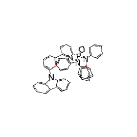 O=P(c1cccc(-c2cccc(-n3c4ccccc4c4ccccc43)c2)n1)(N(c1ccccc1)c1ccccc1)N(c1ccccc1)c1ccccc1